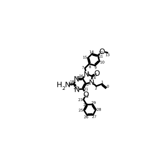 C=CCn1c(=O)n(Cc2ccc(OC)cc2)c2nc(N)nc(OCc3ccccc3)c21